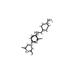 Cc1nc(N2CC(C)OC(C)C2)ccc1NCC1CCC(N)CC1